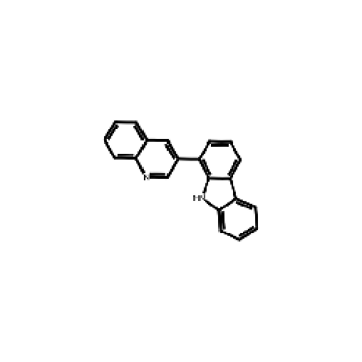 c1ccc2ncc(-c3cccc4c3[nH]c3ccccc34)cc2c1